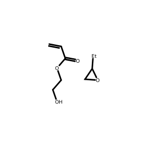 C=CC(=O)OCCO.CCC1CO1